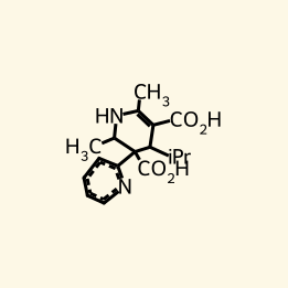 CC1=C(C(=O)O)C(C(C)C)C(C(=O)O)(c2ccccn2)C(C)N1